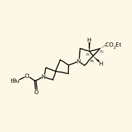 CCOC(=O)[C@@H]1[C@@H]2CN(C3CC4(C3)CN(C(=O)OC(C)(C)C)C4)C[C@@H]21